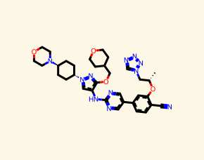 C[C@@H](Cn1cnnn1)Oc1cc(-c2cnc(Nc3cn([C@H]4CC[C@H](N5CCOCC5)CC4)nc3OCC3CCOCC3)nc2)ccc1C#N